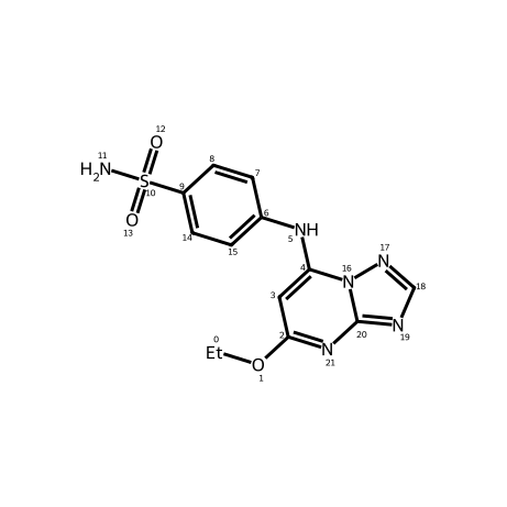 CCOc1cc(Nc2ccc(S(N)(=O)=O)cc2)n2ncnc2n1